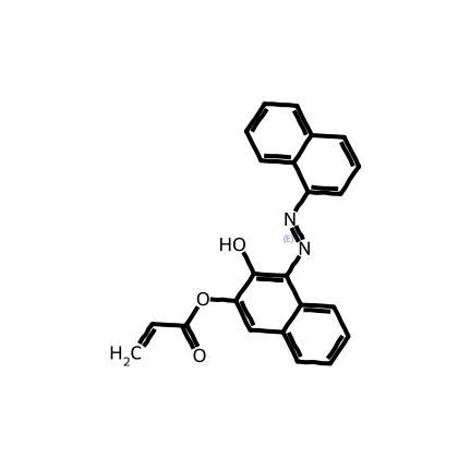 C=CC(=O)Oc1cc2ccccc2c(/N=N/c2cccc3ccccc23)c1O